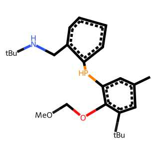 COCOc1c(Pc2ccccc2CNC(C)(C)C)cc(C)cc1C(C)(C)C